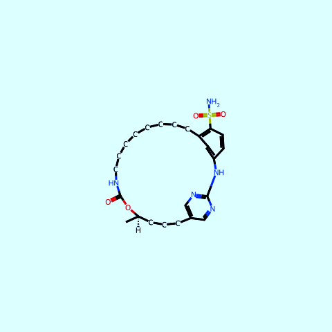 C[C@@H]1CCCc2cnc(nc2)Nc2ccc(S(N)(=O)=O)c(c2)CCCCCCCCNC(=O)O1